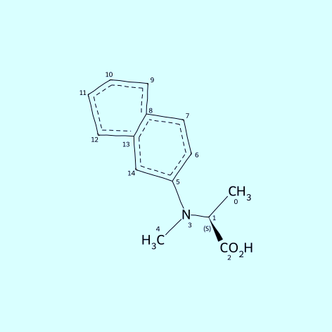 C[C@@H](C(=O)O)N(C)c1ccc2ccccc2c1